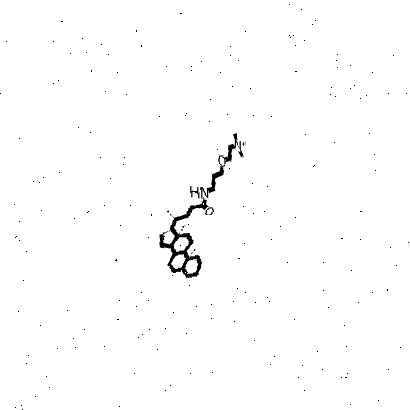 C[C@H](CCC(=O)NCCCOCC[N+](C)(C)C)[C@H]1CCC2C3CCC4CCCC[C@]4(C)C3CC[C@@]21C